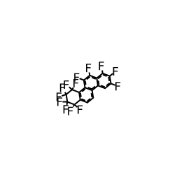 Fc1cc2c(c(F)c1F)c(F)c(F)c1c3c(ccc12)C(F)(F)C(F)(F)C(F)(F)C3(F)F